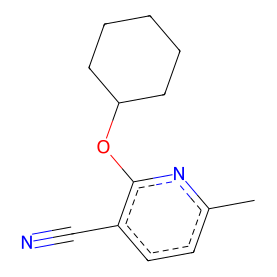 Cc1ccc(C#N)c(OC2CCCCC2)n1